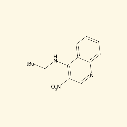 CC(C)(C)CNc1c([N+](=O)[O-])cnc2ccccc12